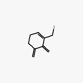 C=C1CCC=C(CI)C1=C